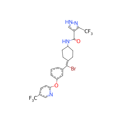 O=C(NC1CCC(=C(Br)c2cccc(Oc3ccc(C(F)(F)F)cn3)c2)CC1)c1c[nH]nc1C(F)(F)F